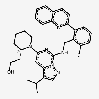 CC(C)c1cnn2c(NCc3c(Cl)cccc3-c3ccc4ccccc4n3)nc(N3CCCC[C@H]3CCO)nc12